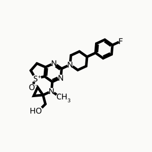 CN(c1nc(N2CCC(c3ccc(F)cc3)CC2)nc2c1[S+]([O-])CC2)C1(CO)CC1